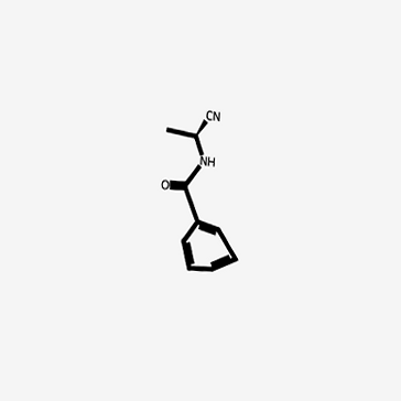 C[C@@H](C#N)NC(=O)c1ccccc1